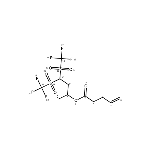 C=CCCC(=O)OC(C)CC(S(=O)(=O)C(F)(F)F)S(=O)(=O)C(F)(F)F